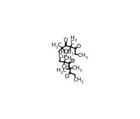 CCC(=O)C(C)(C)C(=O)C(C)(C)[CH2][Cu][CH2]C(C)(C)C(=O)C(C)(C)C(=O)CC